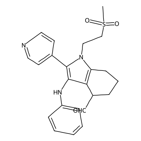 CS(=O)(=O)CCn1c2c(c(Nc3ccccc3)c1-c1ccncc1)C(C=O)CCC2